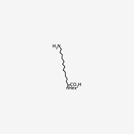 CCCCCCC(CCCCCCCCCCCCN)C(=O)O